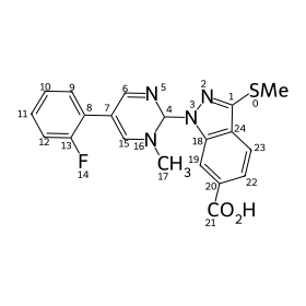 CSc1nn(C2N=CC(c3ccccc3F)=CN2C)c2cc(C(=O)O)ccc12